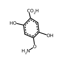 NOc1cc(O)c(C(=O)O)cc1O